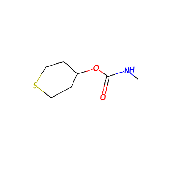 CNC(=O)OC1CCSCC1